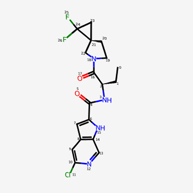 CC[C@@H](NC(=O)c1cc2cc(Cl)ncc2[nH]1)C(=O)N1CC[C@]2(C1)CC2(F)F